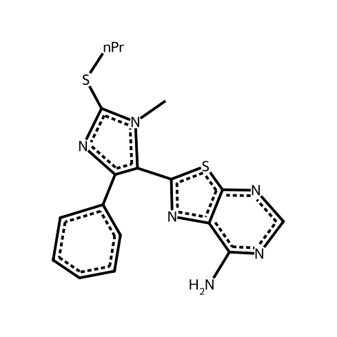 CCCSc1nc(-c2ccccc2)c(-c2nc3c(N)ncnc3s2)n1C